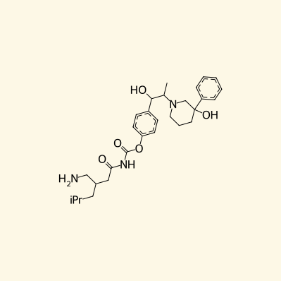 CC(C)CC(CN)CC(=O)NC(=O)Oc1ccc(C(O)C(C)N2CCCC(O)(c3ccccc3)C2)cc1